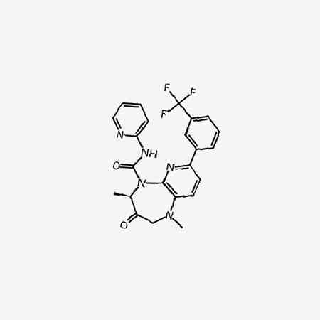 C[C@@H]1C(=O)CN(C)c2ccc(-c3cccc(C(F)(F)F)c3)nc2N1C(=O)Nc1ccccn1